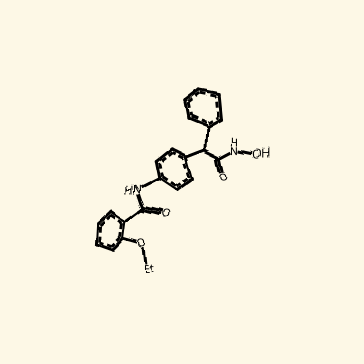 CCOc1ccccc1C(=O)Nc1ccc(C(C(=O)NO)c2ccccc2)cc1